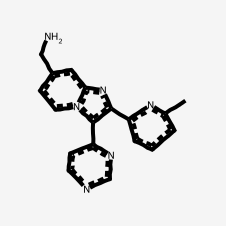 Cc1cccc(-c2nc3cc(CN)ccn3c2-c2ccncn2)n1